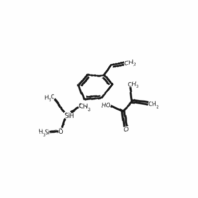 C=C(C)C(=O)O.C=Cc1ccccc1.C[SiH](C)O[SiH3]